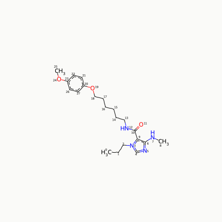 CCCn1cnc(NC)c1C(=O)NCCCCCCOc1ccc(OC)cc1